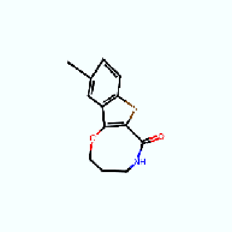 Cc1ccc2sc3c(c2c1)OCCCNC3=O